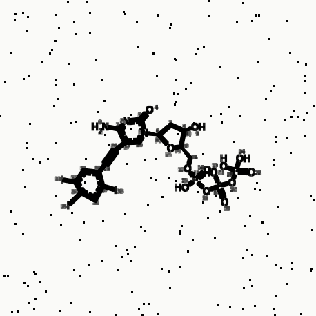 Nc1nc(=O)n([C@H]2C[C@@H](O)[C@@H](COP(=O)(O)OP(=O)(O)OP(=O)(O)O)O2)cc1C#Cc1cc(I)c(I)cc1I